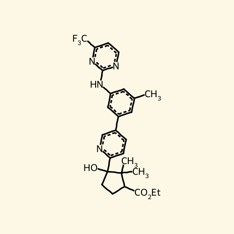 CCOC(=O)C1CCC(O)(c2ccc(-c3cc(C)cc(Nc4nccc(C(F)(F)F)n4)c3)cn2)C1(C)C